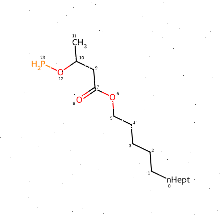 CCCCCCCCCCCCOC(=O)CC(C)OP